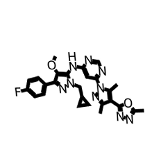 COc1c(-c2ccc(F)cc2)nn(CC2CC2)c1Nc1cc(-n2nc(C)c(-c3nnc(C)o3)c2C)ncn1